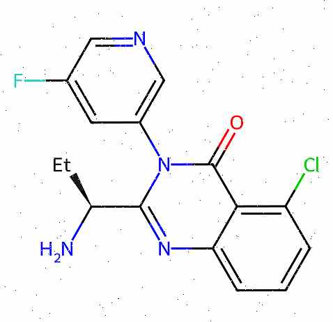 CC[C@H](N)c1nc2cccc(Cl)c2c(=O)n1-c1cncc(F)c1